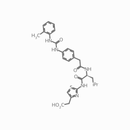 Cc1ccccc1NC(=O)Nc1ccc(CC(=O)N[C@@H](CC(C)C)C(=O)Nc2nc(CC(=O)O)cs2)cc1